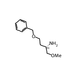 COC[C@@H](N)CCOCc1ccccc1